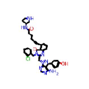 Nc1ncnc2c1c(-c1ccc(O)cc1)nn2Cc1nc2cccc(C#CCCCC(=O)NC3CCNC3)c2c(=O)n1Cc1ccccc1Cl